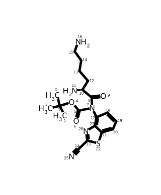 CC(C)(C)OC(=O)N(C(=O)[C@@H](N)CCCCN)c1cccc2sc(C#N)nc12